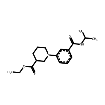 CCOC(=O)C1CCCN(c2cccc(C(=O)NC(C)C)c2)C1